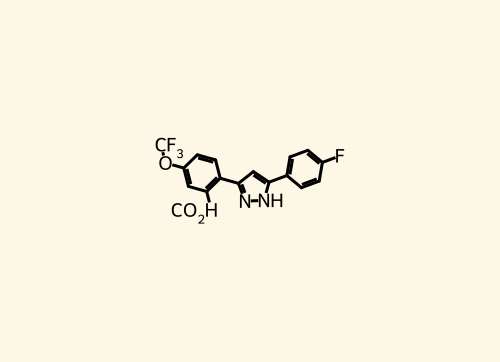 O=C(O)c1cc(OC(F)(F)F)ccc1-c1cc(-c2ccc(F)cc2)[nH]n1